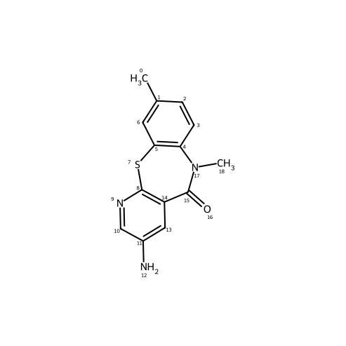 Cc1ccc2c(c1)Sc1ncc(N)cc1C(=O)N2C